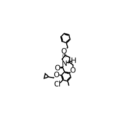 Cc1cc2c(c(OCC3CC3)c1Cl)C(=O)N1C[C@@H](OCc3ccccc3)C[C@@H]1CO2